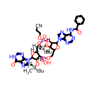 CC(C)(C)[Si](C)(C)O[C@@H]1C2COP(=O)(O)[C@@H]3C(COP(=O)(OCCC#N)O[C@H]1C(n1cnc4c(NC(=O)c5ccccc5)ncnc41)O2)OC(n1cnc2c(=O)[nH]cnc21)[C@@H]3O[Si](C)(C)C(C)(C)C